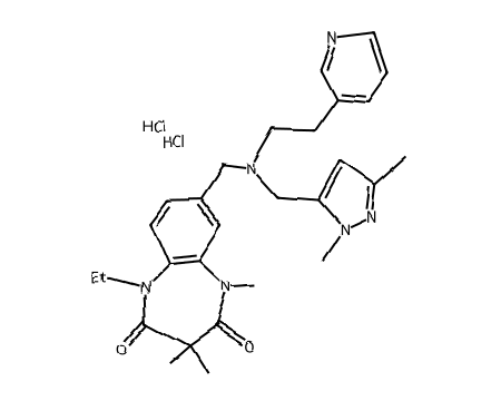 CCN1C(=O)C(C)(C)C(=O)N(C)c2cc(CN(CCc3cccnc3)Cc3cc(C)nn3C)ccc21.Cl.Cl